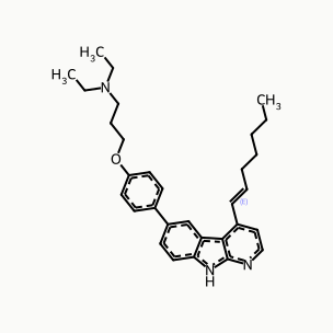 CCCCC/C=C/c1ccnc2[nH]c3ccc(-c4ccc(OCCCN(CC)CC)cc4)cc3c12